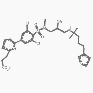 CN(CC(O)CNC(C)(C)CCCc1ccsc1)S(=O)(=O)c1c(Cl)cc(-c2cccc(CCC(=O)O)n2)cc1Cl